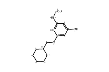 CCCCCCCCNc1cc(O)cc(OCC2CCCCO2)n1